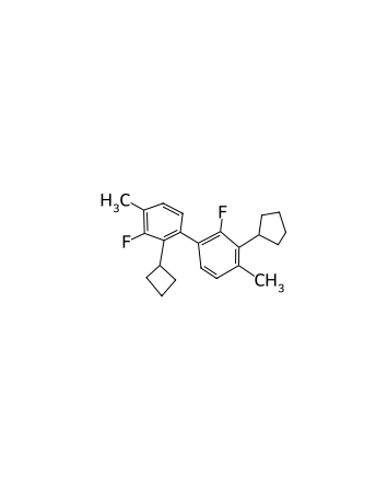 Cc1ccc(-c2ccc(C)c(C3CCCC3)c2F)c(C2CCC2)c1F